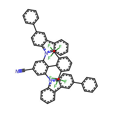 N#Cc1cc(-n2c3ccccc3c3cc(-c4ccccc4)ccc32)c(-c2c(C(F)(F)F)cccc2C(F)(F)F)c(-n2c3ccccc3c3cc(-c4ccccc4)ccc32)c1